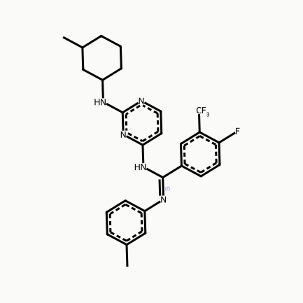 Cc1cccc(/N=C(\Nc2ccnc(NC3CCCC(C)C3)n2)c2ccc(F)c(C(F)(F)F)c2)c1